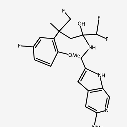 CNc1cc2cc(CNC(O)(CC(C)(CF)c3cc(F)ccc3OC)C(F)F)[nH]c2cn1